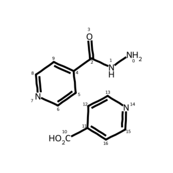 NNC(=O)c1ccncc1.O=C(O)c1ccncc1